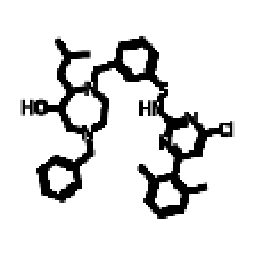 Cc1cccc(C)c1-c1cc(Cl)nc(NSc2cccc(CN3CCN(Cc4ccccc4)CC(O)C3CC(C)C)c2)n1